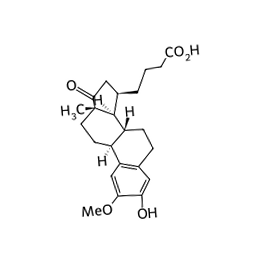 COc1cc2c(cc1O)CC[C@H]1[C@@H]3[C@H](CCCC(=O)O)CC(=O)[C@@]3(C)CC[C@H]21